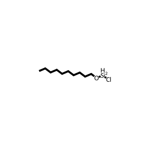 CCCCCCCCCCO[SiH2]Cl